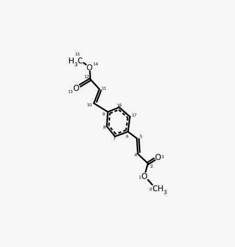 COC(=O)C=Cc1ccc(C=CC(=O)OC)cc1